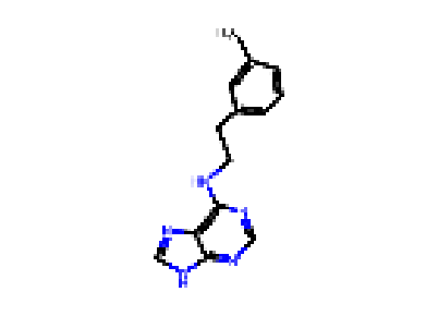 Cc1cccc(CCNc2ncnc3[nH]cnc23)c1